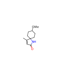 COC1CCC2(CC1)NC(=O)C=C2C